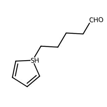 O=CCCCC[SH]1C=CC=C1